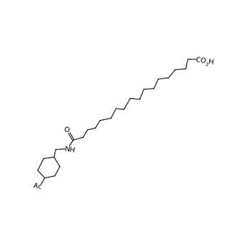 CC(=O)C1CCC(CNC(=O)CCCCCCCCCCCCCCCCC(=O)O)CC1